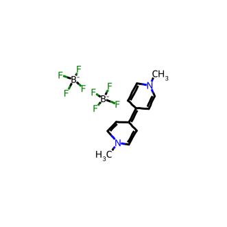 CN1C=CC(=C2C=CN(C)C=C2)C=C1.F[B-](F)(F)F.F[B-](F)(F)F